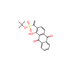 C=C(c1ccc2c(c1O)C(=O)c1ccccc1C2=O)S(=O)(=O)O[Si](C)(C)C